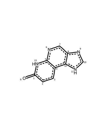 O=c1ccc2c(ncc3nc[nH]c32)[nH]1